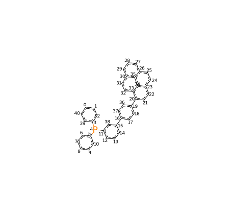 c1ccc(P(c2ccccc2)c2cccc(-c3ccc(-c4ccc5ccc6cccc7ccc4c5c67)cc3)c2)cc1